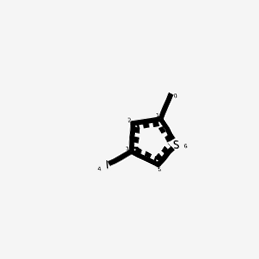 Cc1cc(I)cs1